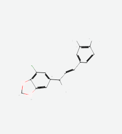 O=C(O)c1ccc(C=CC(c2cc(Cl)c3c(c2)OCO3)C(F)(F)F)cc1C(F)(F)F